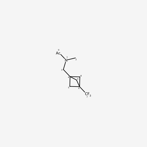 CC(=O)N(C)CC12CC(C(F)(F)F)(C1)C2